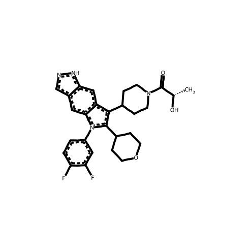 C[C@H](O)C(=O)N1CCC(c2c(C3CCOCC3)n(-c3ccc(F)c(F)c3)c3cc4cn[nH]c4cc23)CC1